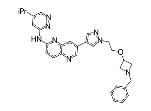 CC(C)c1cnnc(Nc2ccc3ncc(-c4cnn(CCOC5CN(Cc6ccccc6)C5)c4)cc3n2)c1